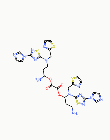 NCCC(OC(=O)C(=O)OC(N)CCN(Cc1nccs1)c1nc(-n2ccnc2)ns1)N(Cc1nccs1)c1nc(-n2ccnc2)ns1